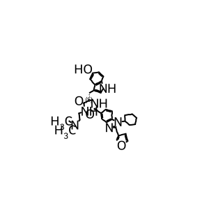 CN(C)CCNC(=O)[C@H](Cc1c[nH]c2ccc(O)cc12)NC(=O)c1ccc2c(c1)nc(-c1ccoc1)n2C1CCCCC1